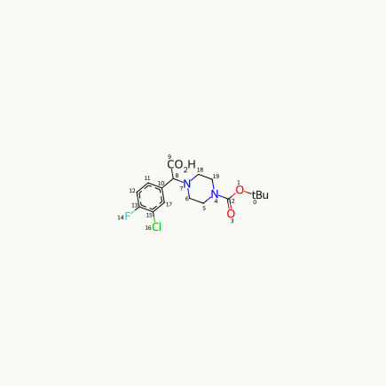 CC(C)(C)OC(=O)N1CCN(C(C(=O)O)c2ccc(F)c(Cl)c2)CC1